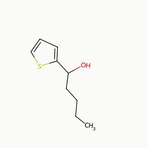 CCCCC(O)c1cccs1